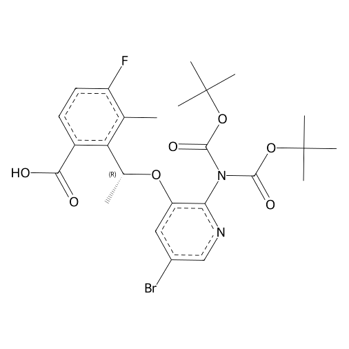 Cc1c(F)ccc(C(=O)O)c1[C@@H](C)Oc1cc(Br)cnc1N(C(=O)OC(C)(C)C)C(=O)OC(C)(C)C